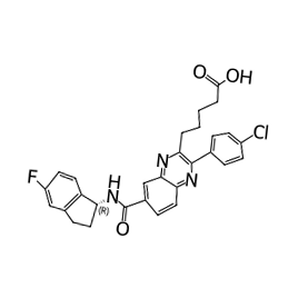 O=C(O)CCCCc1nc2cc(C(=O)N[C@@H]3CCc4cc(F)ccc43)ccc2nc1-c1ccc(Cl)cc1